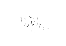 Cc1ccc(-c2c(C)c3c(c(C)c2C(OC(C)(C)C)C(=O)O)CN(C(=O)NCC(C)(C)C)C3)cc1